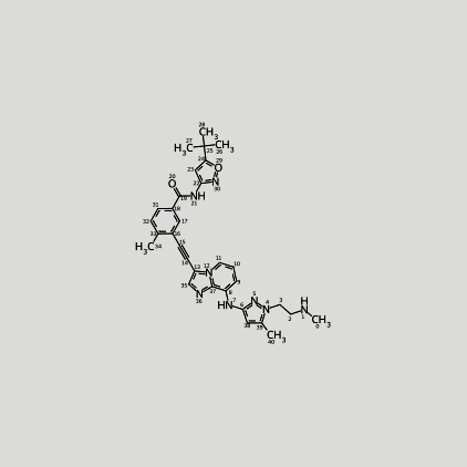 CNCCn1nc(Nc2cccn3c(C#Cc4cc(C(=O)Nc5cc(C(C)(C)C)on5)ccc4C)cnc23)cc1C